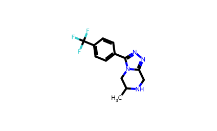 CC1Cn2c(nnc2-c2ccc(C(F)(F)F)cc2)CN1